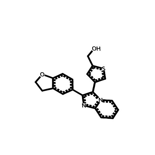 OCc1cc(-c2c(-c3ccc4c(c3)CCO4)nc3ccccn23)cs1